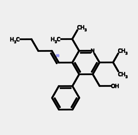 CCC/C=C/c1c(C(C)C)nc(C(C)C)c(CO)c1-c1ccccc1